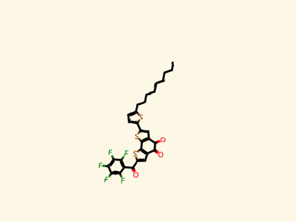 CCCCCCCCCc1ccc(-c2cc3c(s2)-c2sc(C(=O)c4c(F)c(F)c(F)c(F)c4F)cc2C(=O)C3=O)s1